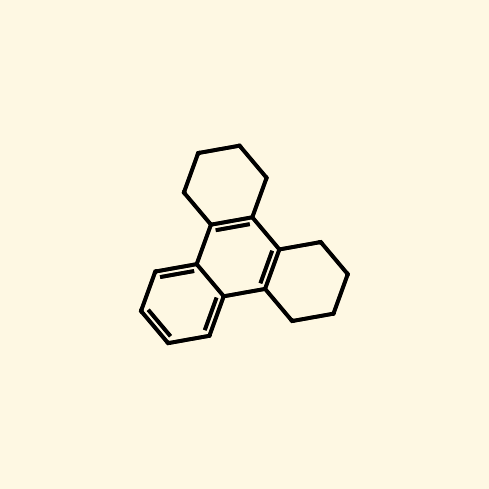 c1ccc2c3c(c4c(c2c1)CCCC4)CCCC3